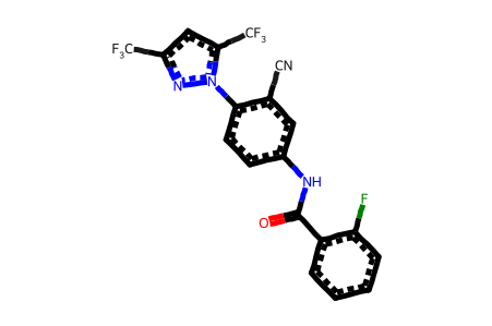 N#Cc1cc(NC(=O)c2ccccc2F)ccc1-n1nc(C(F)(F)F)cc1C(F)(F)F